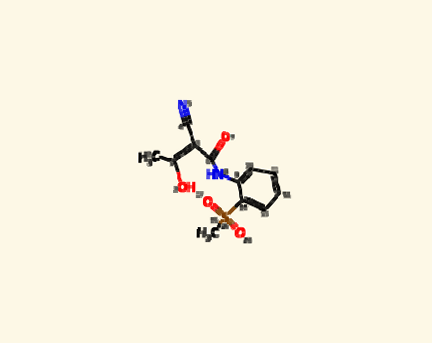 CC(O)=C(C#N)C(=O)Nc1ccccc1S(C)(=O)=O